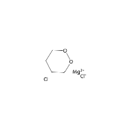 C1CCOOC1.[Cl-].[Cl-].[Mg+2]